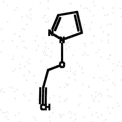 C#CCOn1cccn1